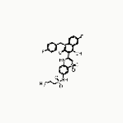 CCCS(=O)(=O)Nc1ccc2c(c1)S(=O)(=O)C=C(c1c(O)c3cc(F)ccc3n(Cc3ccc(F)cc3)c1=O)N2